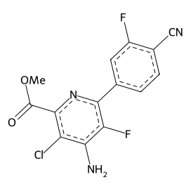 COC(=O)c1nc(-c2ccc(C#N)c(F)c2)c(F)c(N)c1Cl